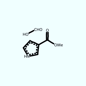 COC(=O)c1cc[nH]c1.O=CO